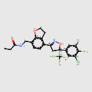 CCC(=O)NCc1ccc(C2=NO[C@](c3cc(Cl)c(F)c(Cl)c3)(C(F)(F)F)C2)c2c1OCC2